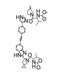 C=C1C[C@@H](c2nc(-c3ccc(C#Cc4ccc5[nH]c([C@@H]6CC7(CC7)CN6C(=O)[C@@H](NC(=O)OC)C(C)C)nc5c4)cc3)c[nH]2)N(C(=O)[C@@H](NC(=O)OC)C(C)C)C1